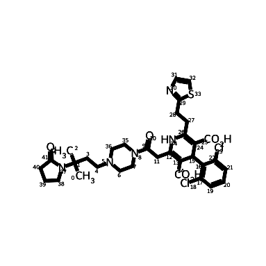 CC(C)(CCN1CCN(C(=O)CC2=C(C(=O)O)C(c3c(Cl)cccc3Cl)C(C(=O)O)=C(CCc3nccs3)N2)CC1)N1CCCC1=O